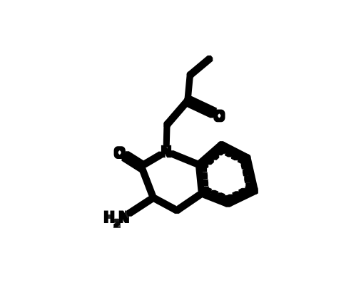 CCC(=O)CN1C(=O)C(N)Cc2ccccc21